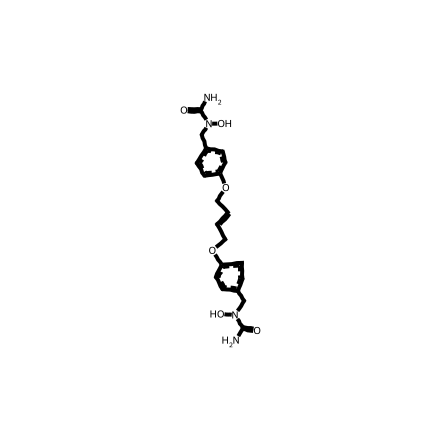 NC(=O)N(O)Cc1ccc(OCC=CCOc2ccc(CN(O)C(N)=O)cc2)cc1